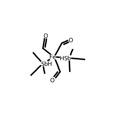 [CH3][SbH]([CH3])([CH3])[Fe]([CH]=O)([CH]=O)([CH]=O)[SbH]([CH3])([CH3])[CH3]